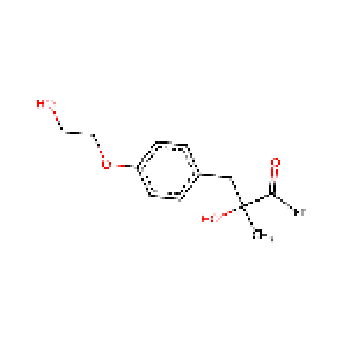 CCC(=O)C(C)(O)Cc1ccc(OCCO)cc1